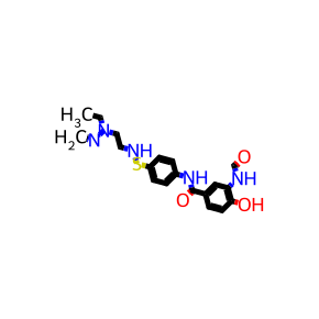 C=NN(CC)CCNSc1ccc(NC(=O)c2ccc(O)c(NC=O)c2)cc1